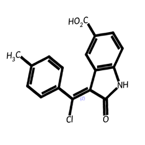 Cc1ccc(/C(Cl)=C2/C(=O)Nc3ccc(C(=O)O)cc32)cc1